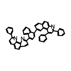 c1ccc(-c2cc(-c3ccccc3)c3c(ccc4ccc(-c5ccc(-c6ccc7ccc8ccc(-c9ccccc9)nc8c7n6)c6ccccc56)cc43)n2)cc1